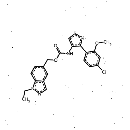 CCn1ncc2cc(COC(=O)Nc3csnc3-c3ccc(Cl)cc3OC)ccc21